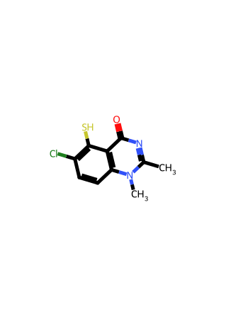 Cc1nc(=O)c2c(S)c(Cl)ccc2n1C